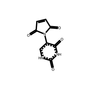 O=C1C=CC(=O)N1c1c[nH]c(=O)[nH]c1=O